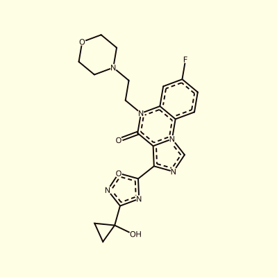 O=c1c2c(-c3nc(C4(O)CC4)no3)ncn2c2ccc(F)cc2n1CCN1CCOCC1